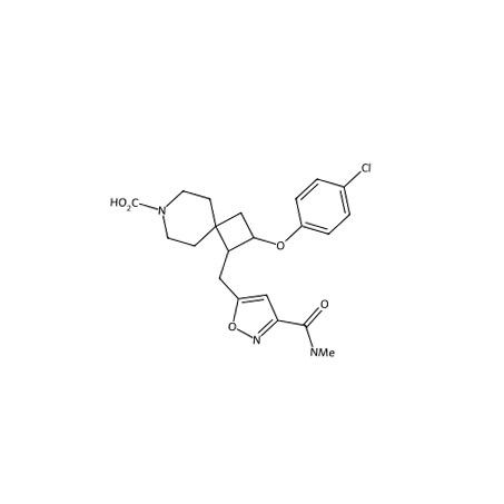 CNC(=O)c1cc(CC2C(Oc3ccc(Cl)cc3)CC23CCN(C(=O)O)CC3)on1